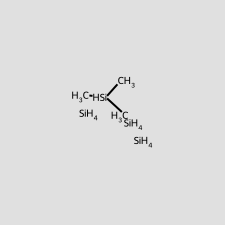 C[SiH](C)C.[SiH4].[SiH4].[SiH4]